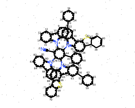 N#Cc1c(-n2c3ccccc3c3ccccc32)c(-n2c3ccc(-c4ccccc4)cc3c3c4c(ccc32)C2CC=CC=C2S4)c(-c2ccccc2)c(-n2c3ccc(-c4ccccc4)cc3c3c4sc5ccccc5c4ccc32)c1-n1c2ccccc2c2ccccc21